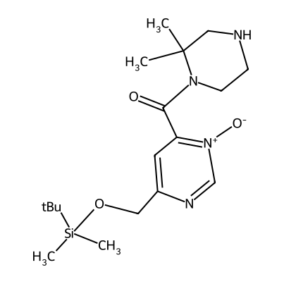 CC1(C)CNCCN1C(=O)c1cc(CO[Si](C)(C)C(C)(C)C)nc[n+]1[O-]